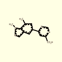 Cc1cc(-c2cc(C(=O)O)ncn2)cc2cnn(C)c12